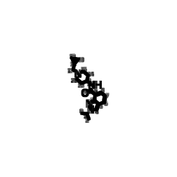 CC(C)n1cc2cccc(C(=O)NC3CCN(CC4CC4)CC3)c2n1